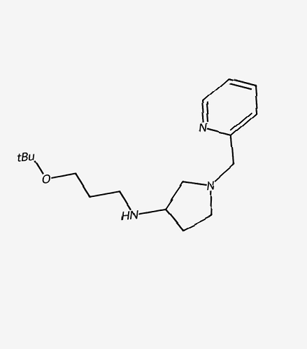 CC(C)(C)OCCCNC1CCN(Cc2ccccn2)C1